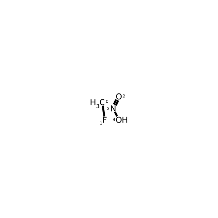 CF.O=NO